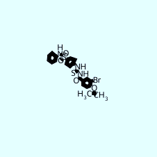 CC(C)Oc1ccc(C(=O)NC(=S)Nc2ccc(S(=O)(=O)Nc3ccccc3)cc2)cc1Br